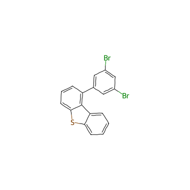 Brc1cc(Br)cc(-c2cccc3sc4ccccc4c23)c1